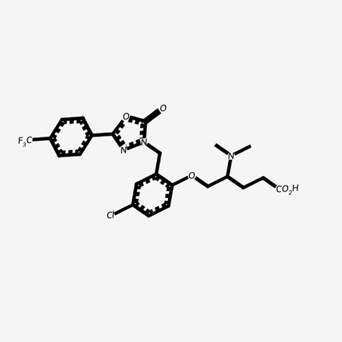 CN(C)C(CCC(=O)O)COc1ccc(Cl)cc1Cn1nc(-c2ccc(C(F)(F)F)cc2)oc1=O